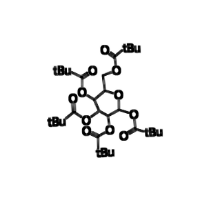 CC(C)(C)C(=O)OCC1OC(OC(=O)C(C)(C)C)C(OC(=O)C(C)(C)C)C(OC(=O)C(C)(C)C)C1OC(=O)C(C)(C)C